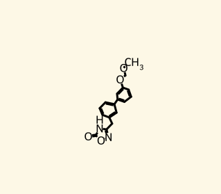 COCOc1cccc(-c2cccc(Cc3noc(=O)[nH]3)c2)c1